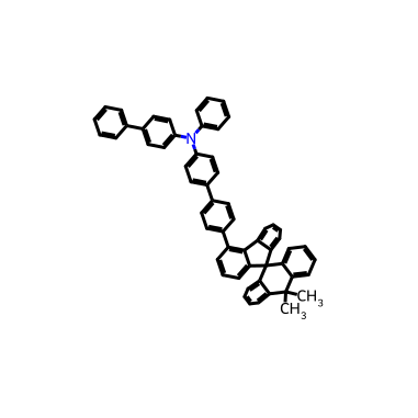 CC1(C)c2ccccc2C2(c3ccccc3-c3c(-c4ccc(-c5ccc(N(c6ccccc6)c6ccc(-c7ccccc7)cc6)cc5)cc4)cccc32)c2ccccc21